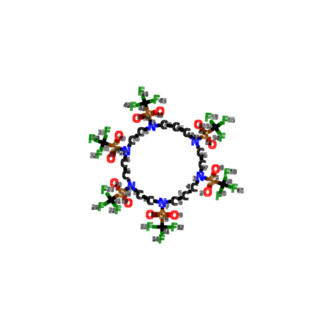 O=S(=O)(N1CCCN(S(=O)(=O)C(F)(F)F)CCN(S(=O)(=O)C(F)(F)F)CCN(S(=O)(=O)C(F)(F)F)CCN(S(=O)(=O)C(F)(F)F)CCCN(S(=O)(=O)C(F)(F)F)CC1)C(F)(F)F